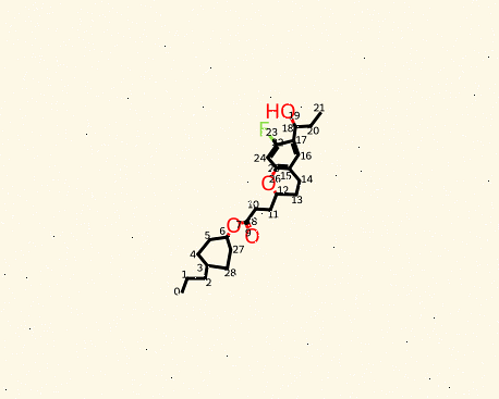 CCCC1CCC(OC(=O)CCC2CCc3cc(C(O)CC)c(F)cc3O2)CC1